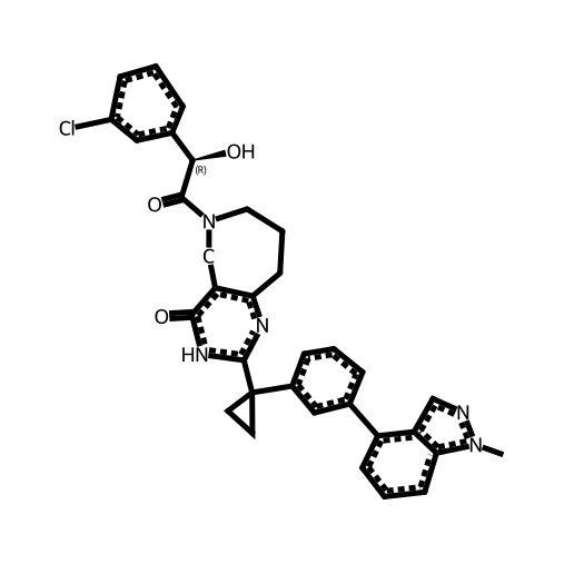 Cn1ncc2c(-c3cccc(C4(c5nc6c(c(=O)[nH]5)CN(C(=O)[C@H](O)c5cccc(Cl)c5)CCC6)CC4)c3)cccc21